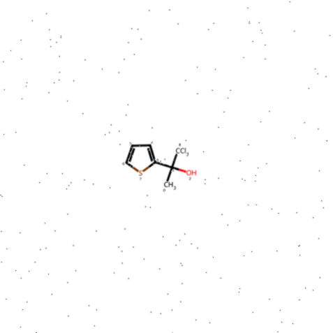 CC(O)(c1cccs1)C(Cl)(Cl)Cl